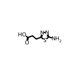 Nc1nnc(CCC(=O)O)s1